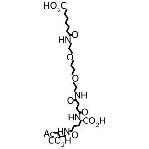 CC(=O)CC[C@H](NC(=O)CC[C@H](NC(=O)CCC(=O)NCCCOCCCCOCCCNC(=O)CCCCCCC(=O)O)C(=O)O)C(=O)O